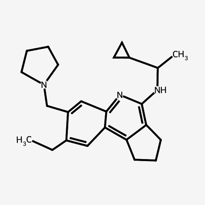 CCc1cc2c3c(c(NC(C)C4CC4)nc2cc1CN1CCCC1)CCC3